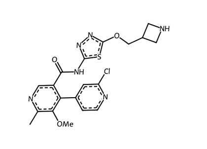 COc1c(C)ncc(C(=O)Nc2nnc(OCC3CNC3)s2)c1-c1ccnc(Cl)c1